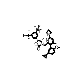 COc1ccc(C2CC2)cc1-c1c(C)cc(N2CCC2)nc1CN1C(=O)O[C@H](c2cc(C(F)(F)F)cc(C(F)(F)F)c2)[C@@H]1C